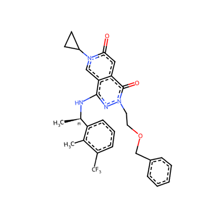 Cc1c([C@@H](C)Nc2nn(CCOCc3ccccc3)c(=O)c3cc(=O)n(C4CC4)cc23)cccc1C(F)(F)F